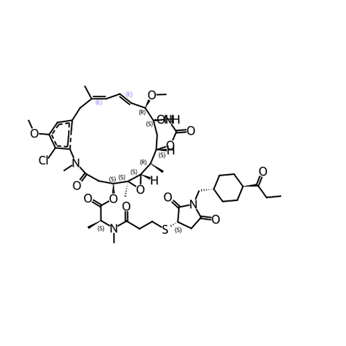 CCC(=O)[C@H]1CC[C@H](CN2C(=O)C[C@H](SCCC(=O)N(C)[C@@H](C)C(=O)O[C@H]3CC(=O)N(C)c4cc(cc(OC)c4Cl)C/C(C)=C/C=C/[C@@H](OC)[C@@]4(O)C[C@H](OC(=O)N4)[C@@H](C)[C@@H]4O[C@@]34C)C2=O)CC1